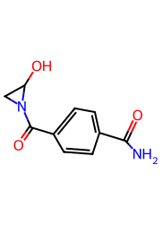 NC(=O)c1ccc(C(=O)N2CC2O)cc1